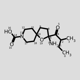 CCC(C)C(=O)C1(N)CCC2(CCN(C(=O)O)CC2)O1